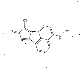 CCCNc1ccc2c3c(cccc13)C1=NC(=O)C(C#N)=C12